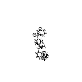 O=C(c1cnc(NCc2cccc(S(F)(F)(F)(F)F)c2)nc1)N1CCCOC1